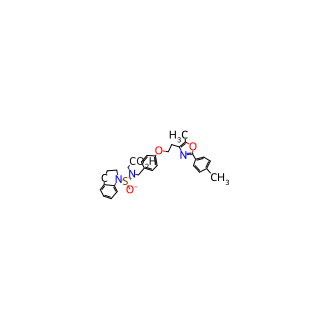 Cc1ccc(-c2nc(CCOc3ccc(CN(CC(=O)O)[S+]([O-])N4CCCc5ccccc54)cc3)c(C)o2)cc1